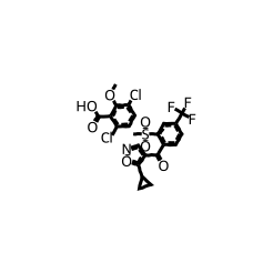 COc1c(Cl)ccc(Cl)c1C(=O)O.CS(=O)(=O)c1cc(C(F)(F)F)ccc1C(=O)c1cnoc1C1CC1